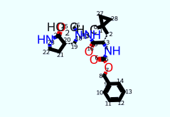 CC1(C[C@H](NC(=O)OCc2ccccc2)C(=O)NN(C[C@@H]2CCNC2=O)C(=O)O)CC1